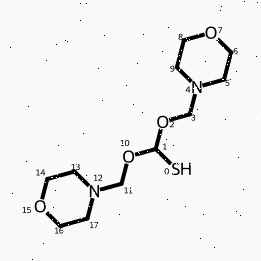 SC(OCN1CCOCC1)OCN1CCOCC1